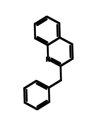 c1ccc(Cc2ccc3ccccc3n2)cc1